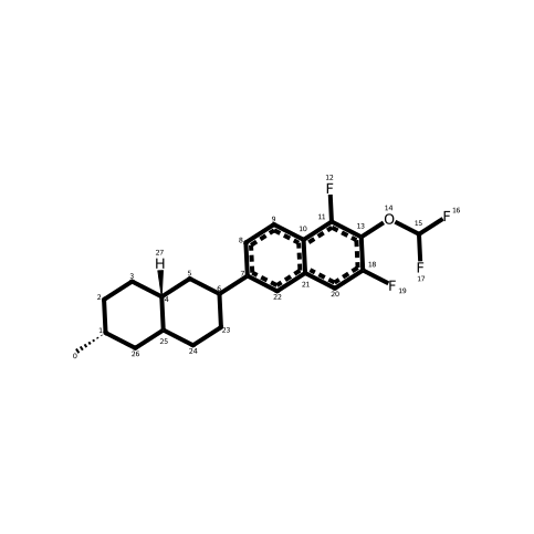 C[C@@H]1CC[C@@H]2CC(c3ccc4c(F)c(OC(F)F)c(F)cc4c3)CCC2C1